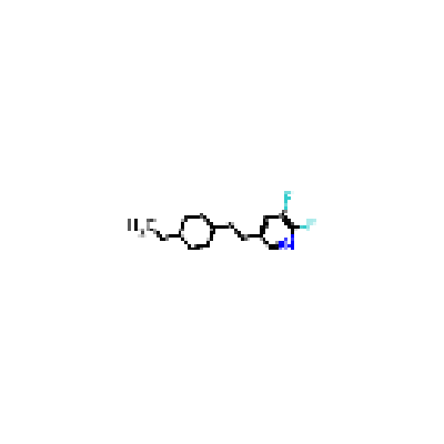 CCC1CCC(CCc2cnc(F)c(F)c2)CC1